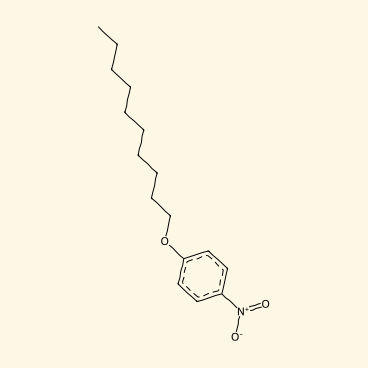 CCCCCCCCCCOc1ccc([N+](=O)[O-])cc1